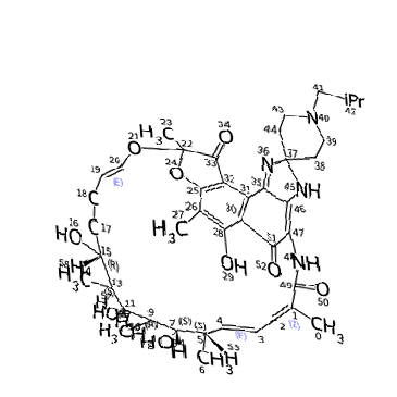 C/C1=C/C=C/[C@H](C)[C@H](O)[C@@H](C)[C@@H](O)[C@@H](C)[C@H](O)CC/C=C/OC2(C)Oc3c(C)c(O)c4c(c3C2=O)C2=NC3(CCN(CC(C)C)CC3)NC2=C(NC1=O)C4=O